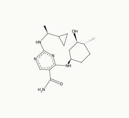 C[C@H](Nc1ncc(C(N)=O)c(N[C@@H]2CC[C@@H](C)[C@H](O)C2)n1)C1CC1